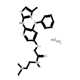 Cc1csc(Nc2ncc(SCC(=O)N(C)CCN(C)C)cc2Oc2ccccc2)n1.Cl.Cl